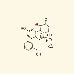 O=C1CC[C@@]2(O)[C@H]3Cc4ccc(O)c5c4[C@@]2(CCN3CC2CC2)[C@H]1O5.OCc1ccccc1